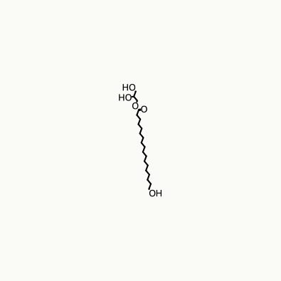 O=C(CCCCCCCCCCCCCCCCCO)OCC(O)CO